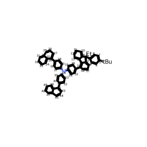 CCC1(c2ccc(C(C)(C)C)cc2)c2ccccc2-c2c(-c3ccc(N(c4ccc(-c5cccc6ccccc56)cc4)c4ccc(-c5cccc6ccccc56)cc4)cc3)cccc21